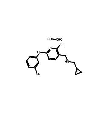 N#Cc1cccc(Nc2ncc(CNCC3CC3)c(C(F)(F)F)n2)c1.O=CO